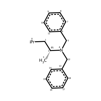 CC(C)C[C@@H](C)N(Cc1ccccc1)Cc1ccccc1